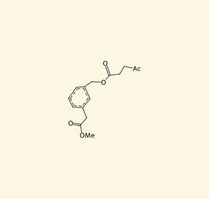 COC(=O)Cc1cccc(COC(=O)CCC(C)=O)c1